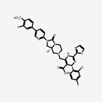 COC(=O)C1=C(CN2CCN3C(=O)N(c4ccc(-c5ccc(C(=O)O)c(F)c5)cn4)C[C@@H]3C2)NC(c2nccs2)=N[C@H]1c1ccc(F)cc1Cl